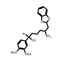 COc1ccc(C(C#N)(CCCC(CC2Oc3ccccc3O2)[N+](=O)[O-])C(C)C)cc1OC